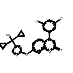 O=c1cc(-c2cc(Cl)cc(Cl)c2)c2ccc(Sc3ncc(C(O)(C4CC4)C4CC4)s3)cc2o1